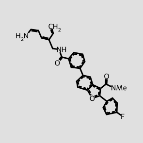 C=C/C(=C\C=C/N)CNC(=O)c1cccc(-c2ccc3oc(-c4ccc(F)cc4)c(C(=O)NC)c3c2)c1